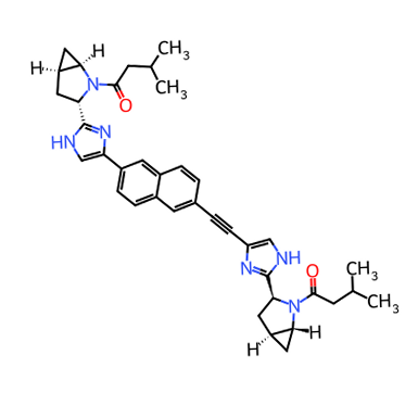 CC(C)CC(=O)N1[C@@H]2C[C@H]2C[C@H]1c1nc(C#Cc2ccc3cc(-c4c[nH]c([C@@H]5C[C@H]6C[C@H]6N5C(=O)CC(C)C)n4)ccc3c2)c[nH]1